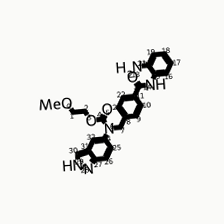 COCCOC(=O)N(Cc1ccc(C(=O)Nc2ccccc2N)cc1)c1ccc2n[nH]cc2c1